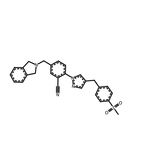 CS(=O)(=O)c1ccc(Cc2cnn(-c3ccc(CN4Cc5ccccc5C4)cc3C#N)c2)cc1